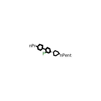 CCCCC[C@H]1CC[C@H](c2ccc(-c3ccc(CCC)cc3)c(F)c2)CC1